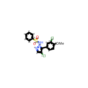 COc1ccc(-c2c(Cl)cnn2NS(=O)(=O)c2ccccc2)cc1Cl